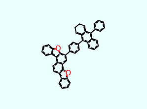 C1=c2c(-c3ccccc3)c3ccccc3c(-c3ccc(-c4cc5c(ccc6c7ccccc7oc65)c5c4oc4ccccc45)cc3)c2=CCC1